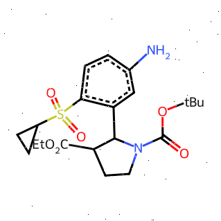 CCOC(=O)C1CCN(C(=O)OC(C)(C)C)C1c1cc(N)ccc1S(=O)(=O)C1CC1